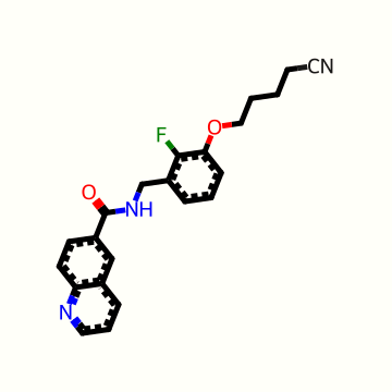 N#CCCCCOc1cccc(CNC(=O)c2ccc3ncccc3c2)c1F